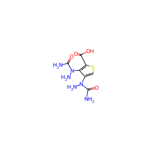 NC(=O)N(N)c1csc(C(=O)O)c1N(N)C(N)=O